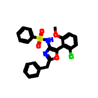 COc1cccc(Cl)c1-c1oc(Cc2ccccc2)nc1NS(=O)(=O)c1ccccc1